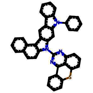 c1ccc(-n2c3ccccc3c3cc4c5c6ccccc6ccc5n(-c5nc6c7c(cccc7n5)Sc5ccccc5-6)c4cc32)cc1